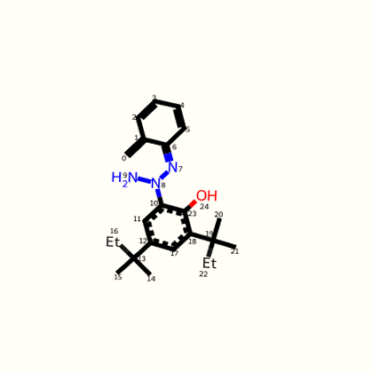 C=C1C=CC=C/C1=N/N(N)c1cc(C(C)(C)CC)cc(C(C)(C)CC)c1O